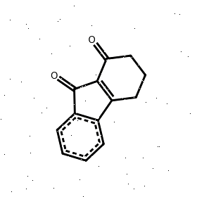 O=C1CCCC2=C1C(=O)c1ccccc12